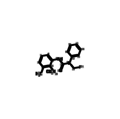 Cc1cccc(NC(=O)N(CF)c2ccccc2)c1C(=O)O